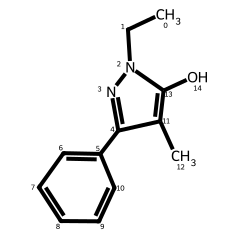 CCn1nc(-c2ccccc2)c(C)c1O